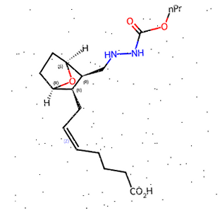 CCCOC(=O)NNC[C@H]1[C@@H](C/C=C\CCCC(=O)O)[C@H]2CC[C@@H]1O2